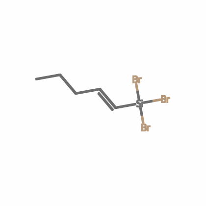 CCCC=C[Si](Br)(Br)Br